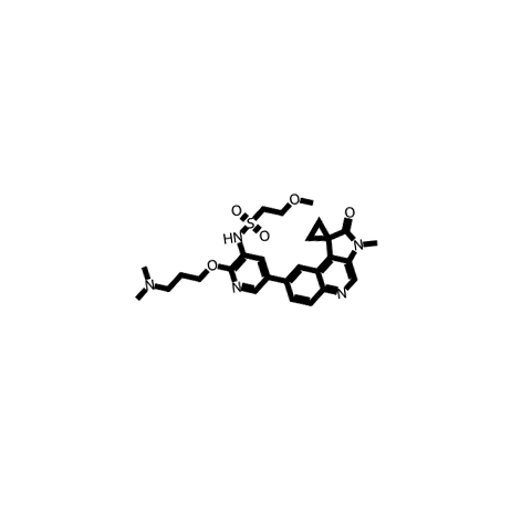 COCCS(=O)(=O)Nc1cc(-c2ccc3ncc4c(c3c2)C2(CC2)C(=O)N4C)cnc1OCCCN(C)C